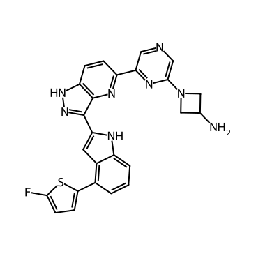 NC1CN(c2cncc(-c3ccc4[nH]nc(-c5cc6c(-c7ccc(F)s7)cccc6[nH]5)c4n3)n2)C1